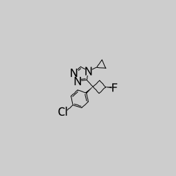 F[C@H]1C[C@](c2ccc(Cl)cc2)(c2nncn2C2CC2)C1